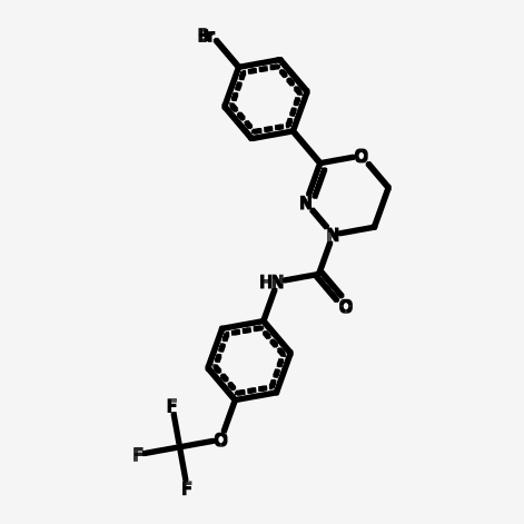 O=C(Nc1ccc(OC(F)(F)F)cc1)N1CCOC(c2ccc(Br)cc2)=N1